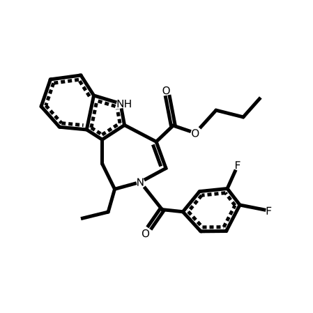 CCCOC(=O)C1=CN(C(=O)c2ccc(F)c(F)c2)C(CC)Cc2c1[nH]c1ccccc21